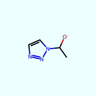 CC([O])n1ccnn1